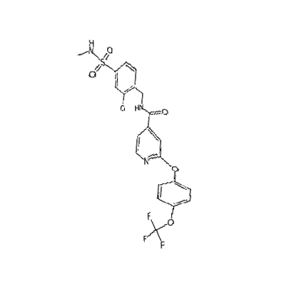 CNS(=O)(=O)c1ccc(CNC(=O)c2ccnc(Oc3ccc(OC(F)(F)F)cc3)c2)c(Cl)c1